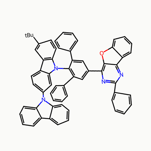 CC(C)(C)c1ccc2c(c1)c1ccc(-n3c4ccccc4c4ccccc43)cc1n2-c1c(-c2ccccc2)cc(-c2nc(-c3ccccc3)nc3c2oc2ccccc23)cc1-c1ccccc1